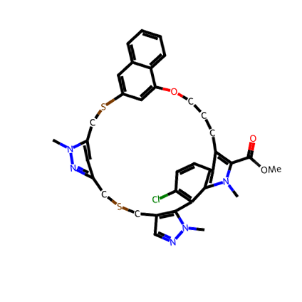 COC(=O)c1c2c3ccc(Cl)c(c3n1C)-c1c(cnn1C)CSCc1cc(n(C)n1)CSc1cc(c3ccccc3c1)OCCC2